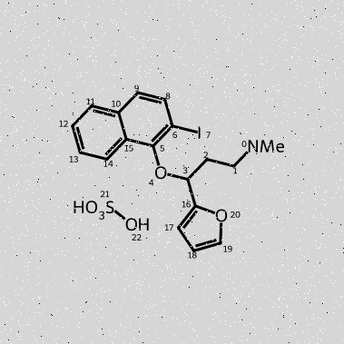 CNCCC(Oc1c(I)ccc2ccccc12)c1ccco1.O=S(=O)(O)O